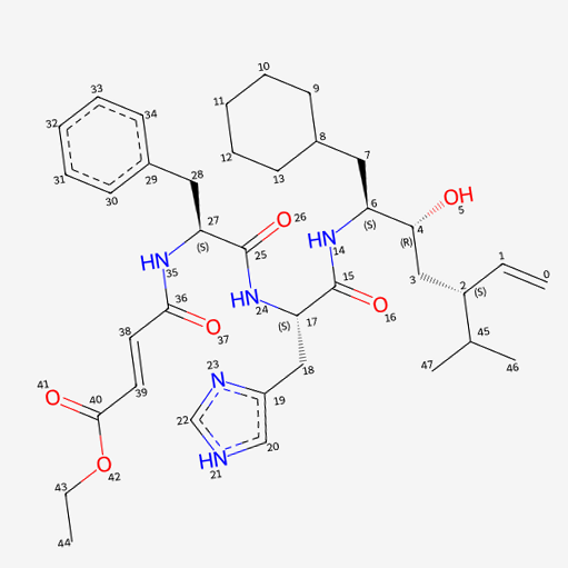 C=C[C@@H](C[C@@H](O)[C@H](CC1CCCCC1)NC(=O)[C@H](Cc1c[nH]cn1)NC(=O)[C@H](Cc1ccccc1)NC(=O)C=CC(=O)OCC)C(C)C